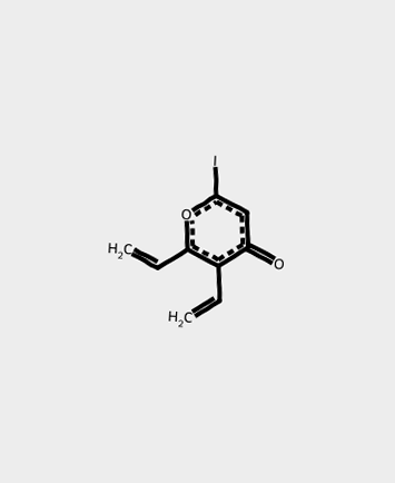 C=Cc1oc(I)cc(=O)c1C=C